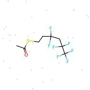 CC(=O)SCCC(F)(F)CC(F)(F)C(F)(F)F